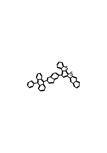 c1ccc(-c2c3ccccc3c(-c3ccc4cc(-c5cc6c7cc8ccccc8cc7sc6c6sc7ccccc7c56)ccc4c3)c3ccccc23)cc1